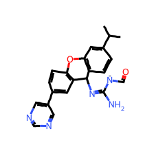 CC(C)c1ccc2c(c1)Oc1ccc(-c3cncnc3)cc1C2/N=C(/N)N(C)C=O